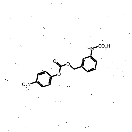 O=C(O)Nc1cccc(COC(=O)Oc2ccc([N+](=O)[O-])cc2)c1